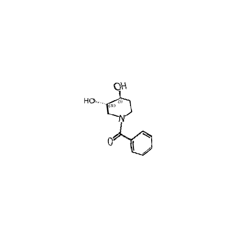 O=C(c1ccccc1)N1CC[C@H](O)[C@@H](O)C1